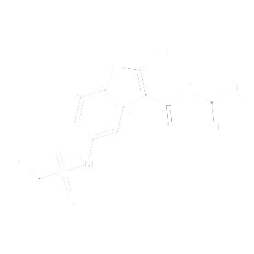 CCS(=O)(=O)Nc1ccc2oc(C)c(C(=O)OC(C)C)c2c1